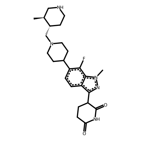 C[C@H]1CNCC[C@@H]1CN1CCC(c2ccc3c(C4CCC(=O)NC4=O)nn(C)c3c2F)CC1